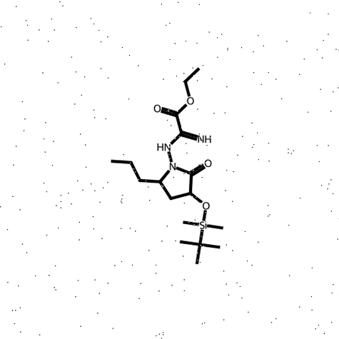 CCCC1CC(O[Si](C)(C)C(C)(C)C)C(=O)N1NC(=N)C(=O)OCC